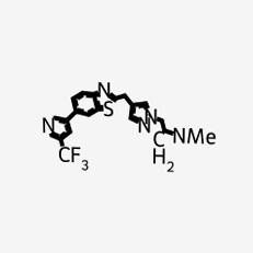 C=C(Cn1cc(Cc2nc3ccc(-c4cncc(C(F)(F)F)c4)cc3s2)cn1)NC